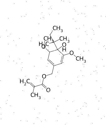 C=C(C)C(=O)OCC1=CC(OC)C(O)(C(C)(C)CC)C(OC)=C1